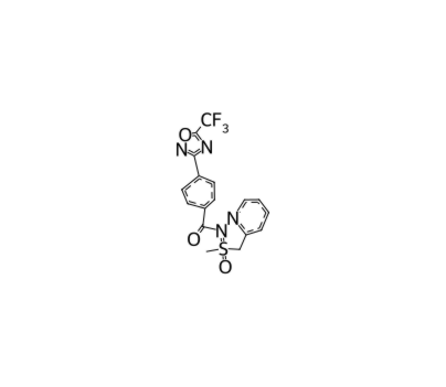 CS(=O)(Cc1ccccn1)=NC(=O)c1ccc(-c2noc(C(F)(F)F)n2)cc1